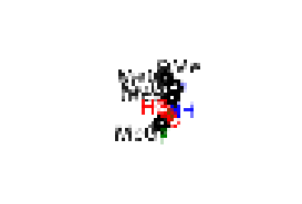 COc1ccc(S(=O)(=O)Nc2cc(/C=C\c3cc(OC)c(OC)c(OC)c3)cc(OC)c2O)cc1F